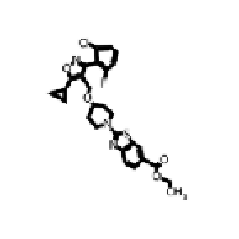 CCOC(=O)c1ccc2nc(N3CCC(OCc4c(-c5c(F)cccc5Cl)noc4C4CC4)CC3)sc2c1